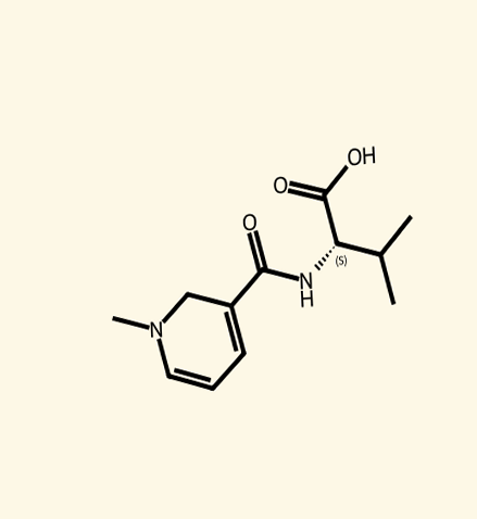 CC(C)[C@H](NC(=O)C1=CC=CN(C)C1)C(=O)O